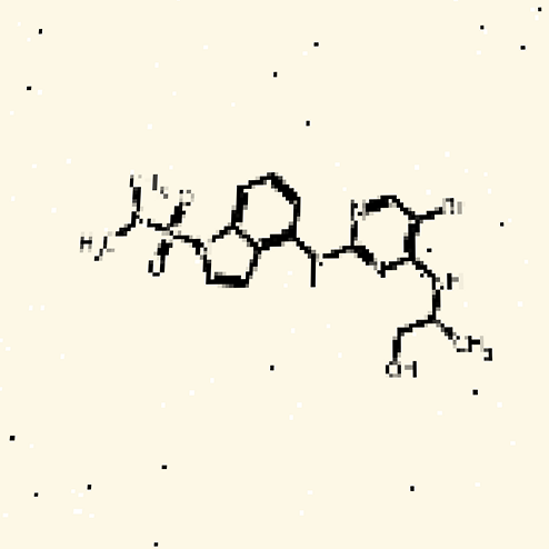 C[C@@H](CO)Nc1nc(Nc2cccc3c2ccn3S(=O)(=O)N(C)C)ncc1Br